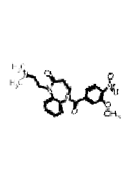 COc1cc(C(=O)N2CCC(=O)N(CCN(C)C)c3ccccc32)ccc1[N+](=O)[O-]